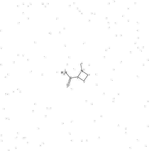 CN1C[CH]C1C(N)=O